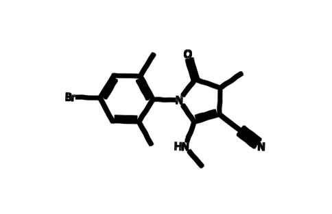 CNC1=C(C#N)C(C)C(=O)N1c1c(C)cc(Br)cc1C